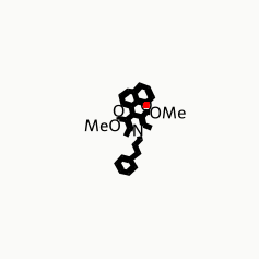 COC(=O)C1=C(C)N(CCCc2ccccc2)C(C)=C(C(=O)OC)C1c1cccc2ccccc12